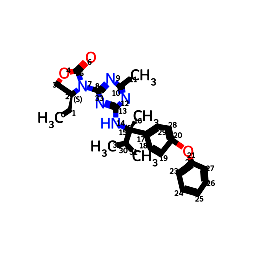 CC[C@H]1COC(=O)N1c1nc(C)nc(N[C@](C)(c2ccc(Oc3ccccc3)cc2)C(C)C)n1